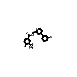 Cc1ccc(C(=O)NCc2cc(-c3cccc(Br)c3)ccn2)cc1S(C)(=O)=O